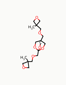 CC1(COCC23COC(COCC4(C)COC4)(OC2)OC3)COC1